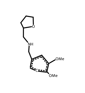 COc1ccc(CNCC2CCCO2)cc1OC